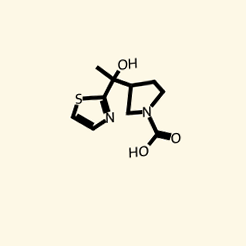 CC(O)(c1nccs1)C1CCN(C(=O)O)C1